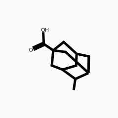 CC1C2CC3CC1CC(C(=O)O)(C3)C2